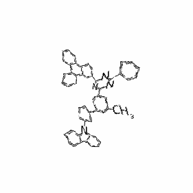 Cc1cc(-c2cccc(-n3c4ccccc4c4ccccc43)c2)cc(-c2nc(-c3ccccc3)nc(-c3ccc4c5ccccc5c5ccccc5c4c3)n2)c1